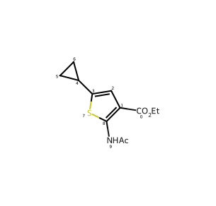 CCOC(=O)c1cc(C2CC2)sc1NC(C)=O